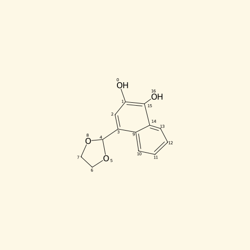 Oc1cc(C2OCCO2)c2ccccc2c1O